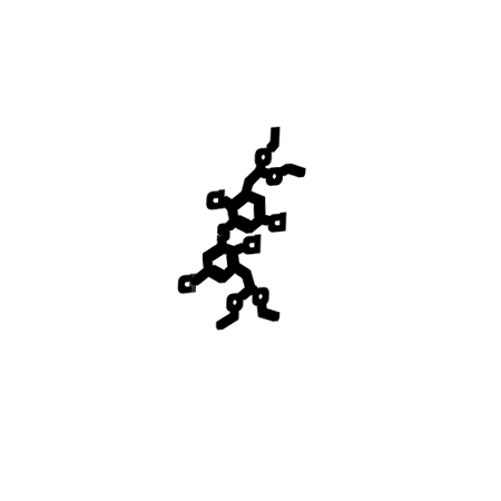 CCOC(Cc1cc(Cl)cc(Sc2cc(Cl)cc(CC(OCC)OCC)c2Cl)c1Cl)OCC